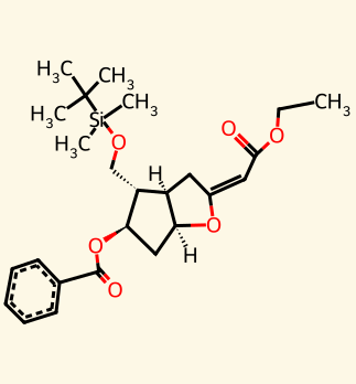 CCOC(=O)/C=C1\C[C@@H]2[C@@H](CO[Si](C)(C)C(C)(C)C)[C@H](OC(=O)c3ccccc3)C[C@@H]2O1